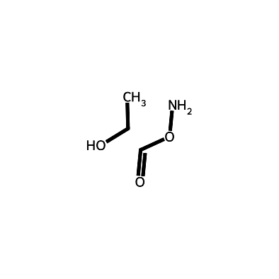 CCO.NOC=O